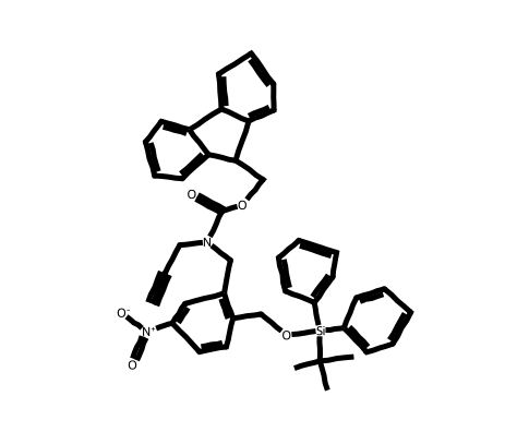 C#CCN(Cc1cc([N+](=O)[O-])ccc1CO[Si](c1ccccc1)(c1ccccc1)C(C)(C)C)C(=O)OCC1c2ccccc2-c2ccccc21